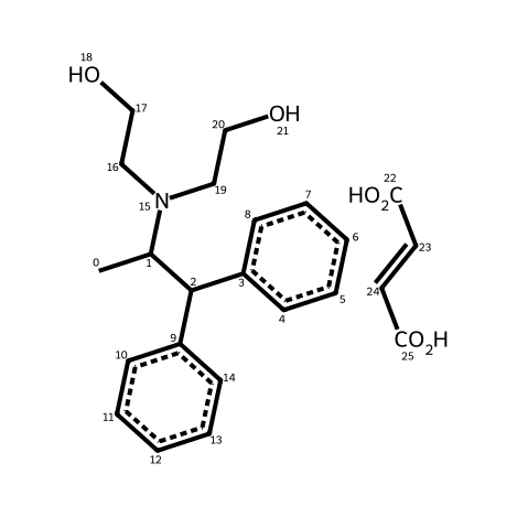 CC(C(c1ccccc1)c1ccccc1)N(CCO)CCO.O=C(O)/C=C/C(=O)O